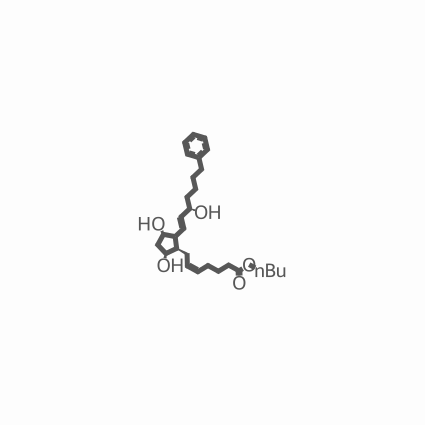 CCCCOC(=O)CCC/C=C\C[C@@H]1C(/C=C/[C@@H](O)CCCCc2ccccc2)[C@H](O)C[C@@H]1O